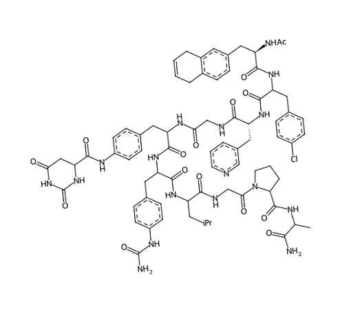 CC(=O)N[C@H](Cc1ccc2c(c1)CC=CC2)C(=O)NC(Cc1ccc(Cl)cc1)C(=O)N[C@H](Cc1cccnc1)C(=O)NCC(=O)NC(Cc1ccc(NC(=O)C2CC(=O)NC(=O)N2)cc1)C(=O)NC(Cc1ccc(NC(N)=O)cc1)C(=O)NC(CC(C)C)C(=O)NCC(=O)N1CCCC1C(=O)NC(C)C(N)=O